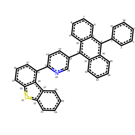 c1ccc(-c2c3ccccc3c(-c3ccc(-c4cccc5sc6ccccc6c45)nc3)c3ccccc23)cc1